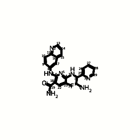 NCC(Nc1nc(Nc2ccc3ncccc3c2)c(C(N)=O)cc1F)c1ccccn1